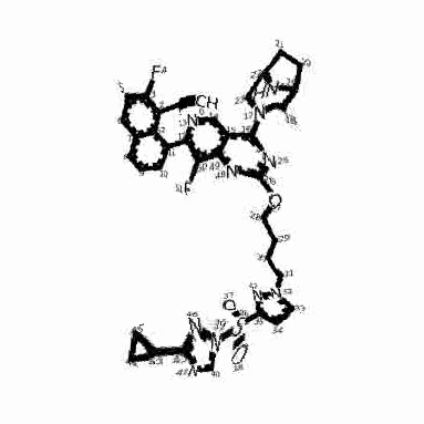 C#Cc1c(F)ccc2cccc(-c3ncc4c(N5CC6CCC(C5)N6)nc(OCCCCn5ccc(S(=O)(=O)n6cnc(C7CC7)n6)n5)nc4c3F)c12